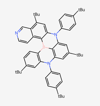 CC(C)(C)c1ccc(N2c3cc(C(C)(C)C)ccc3B3c4c2cc(C(C)(C)C)cc4N(c2ccc(C(C)(C)C)cc2)c2cc(C(C)(C)C)c4cnccc4c23)cc1